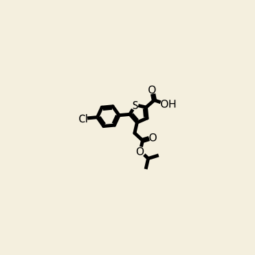 CC(C)OC(=O)Cc1cc(C(=O)O)sc1-c1ccc(Cl)cc1